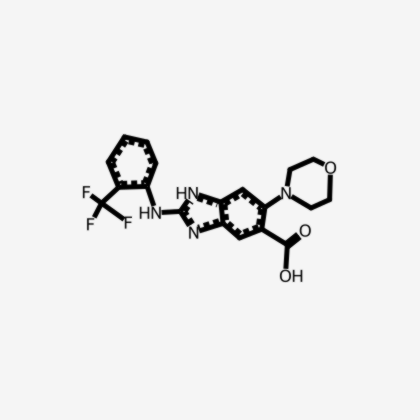 O=C(O)c1cc2nc(Nc3ccccc3C(F)(F)F)[nH]c2cc1N1CCOCC1